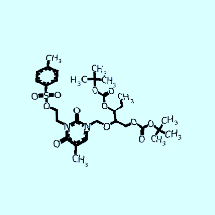 CC[C@H](OC(=O)OC(C)(C)C)C(COC(=O)OC(C)(C)C)OCn1cc(C)c(=O)n(CCOS(=O)(=O)c2ccc(C)cc2)c1=O